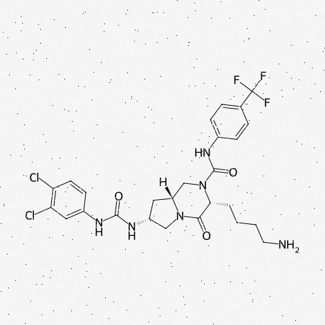 NCCCC[C@@H]1C(=O)N2C[C@H](NC(=O)Nc3ccc(Cl)c(Cl)c3)C[C@@H]2CN1C(=O)Nc1ccc(C(F)(F)F)cc1